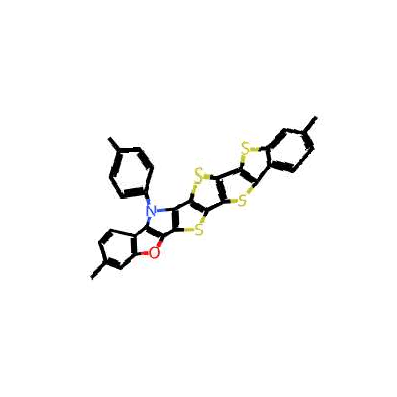 Cc1ccc(-n2c3c4ccc(C)cc4oc3c3sc4c5sc6c7ccc(C)cc7sc6c5sc4c32)cc1